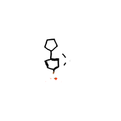 O=S([O-])c1ccc(C2CCCC2)cc1.[CH3][Sn+]([CH3])[CH3]